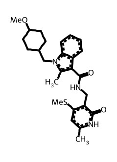 COC1CCC(Cn2c(C)c(C(=O)NCc3c(SC)cc(C)[nH]c3=O)c3ccccc32)CC1